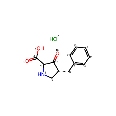 Cl.O=C(O)C1NC[C@@H](Cc2ccccc2)C1=O